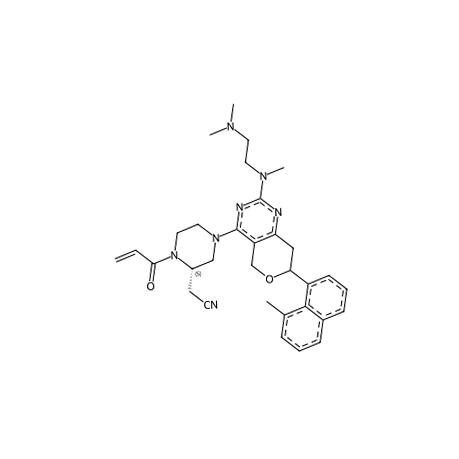 C=CC(=O)N1CCN(c2nc(N(C)CCN(C)C)nc3c2COC(c2cccc4cccc(C)c24)C3)C[C@@H]1CC#N